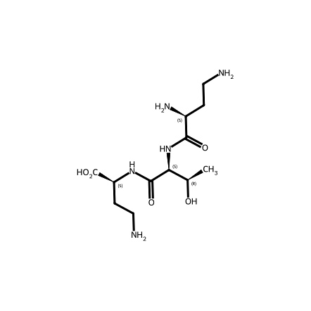 C[C@@H](O)[C@H](NC(=O)[C@@H](N)CCN)C(=O)N[C@@H](CCN)C(=O)O